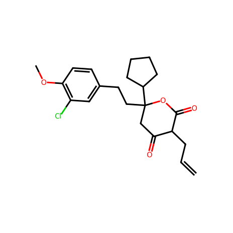 C=CCC1C(=O)CC(CCc2ccc(OC)c(Cl)c2)(C2CCCC2)OC1=O